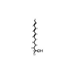 CC=CC=CC=CCCCCC(C)O